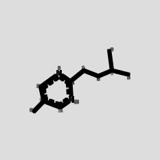 Cc1cnc(CCC(C)C)nc1